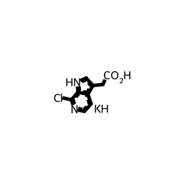 O=C(O)Cc1c[nH]c2c(Cl)nccc12.[KH]